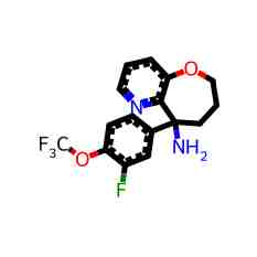 NC1(c2ccc(OC(F)(F)F)c(F)c2)CCCOc2cccnc21